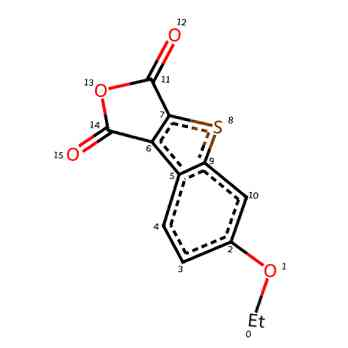 CCOc1ccc2c3c(sc2c1)C(=O)OC3=O